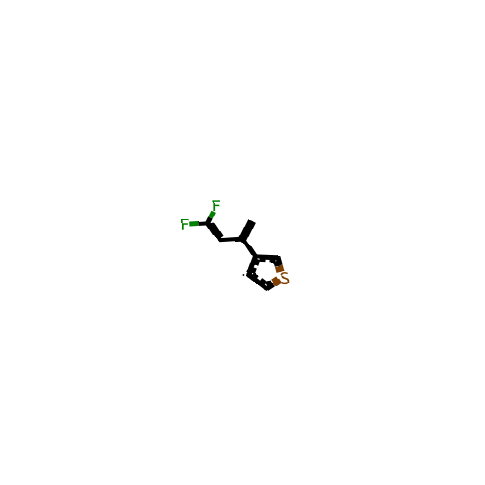 C=C(C=C(F)F)c1[c]csc1